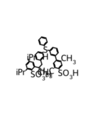 Cc1cc(S(=O)(=O)O)c(C)cc1-c1cccc([SH](c2ccccc2)c2cccc(CC(C)c3cc(C(C)C)cc(C(C)C)c3S(=O)(=O)O)c2)c1